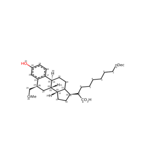 CCCCCCCCCCCCCCCCC(C(=O)O)[C@H]1CC[C@H]2C1CC[C@@H]1c3ccc(O)cc3[C@H](COC)C[C@H]12